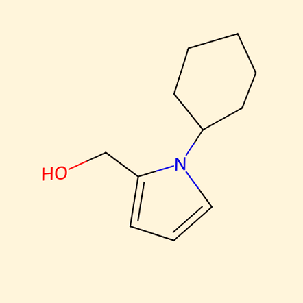 OCc1cccn1C1CCCCC1